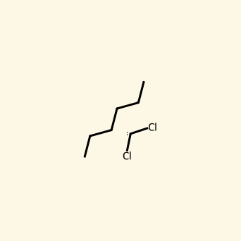 CCCCCC.Cl[C]Cl